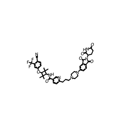 CC1(C)C(NC(=O)c2ccc(CCCN3CCN(c4ccc5c(c4)C(=O)N(C4CCC(=O)NC4=O)C5=O)CC3)nc2)C(C)(C)C1Oc1ccc(C#N)c(C(F)(F)F)c1